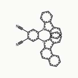 N#Cc1cc(-n2c3ccccc3c3ccccc32)c(-n2c3ccccc3c3c4ccccc4ccc32)cc1C#N